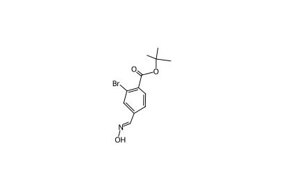 CC(C)(C)OC(=O)c1ccc(C=NO)cc1Br